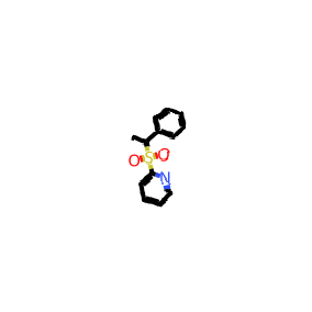 CC(c1ccccc1)S(=O)(=O)c1ccccn1